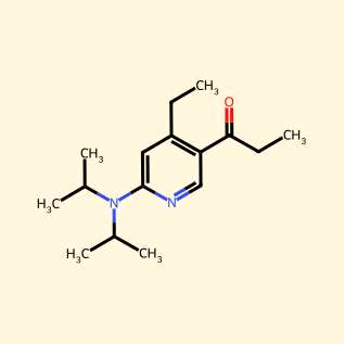 CCC(=O)c1cnc(N(C(C)C)C(C)C)cc1CC